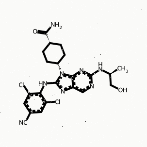 C[C@@H](CO)Nc1ncc2nc(Nc3c(Cl)cc(C#N)cc3Cl)n([C@H]3CC[C@@H](C(N)=O)CC3)c2n1